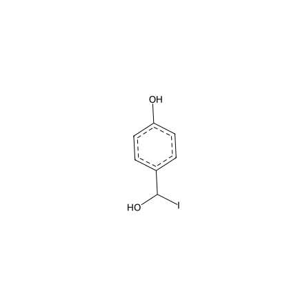 Oc1ccc(C(O)I)cc1